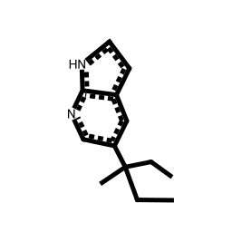 CCC(C)(CC)c1cnc2[nH]ccc2c1